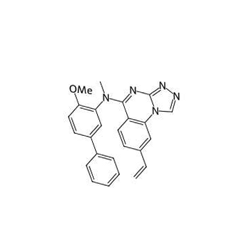 C=Cc1ccc2c(N(C)c3cc(-c4ccccc4)ccc3OC)nc3nncn3c2c1